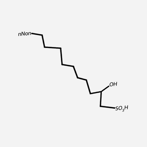 CCCCCCCCCCCCCCCCCC(O)CS(=O)(=O)O